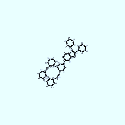 C1=C\c2ccc(-c3ccc4c(c3)nc(-c3ccccc3)n4-c3ccccc3)cc2-c2ccccc2Sc2ccccc2-c2ccccc2/1